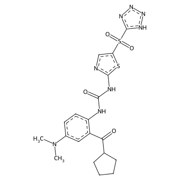 CN(C)c1ccc(NC(=O)Nc2ncc(S(=O)(=O)c3nnn[nH]3)s2)c(C(=O)C2CCCC2)c1